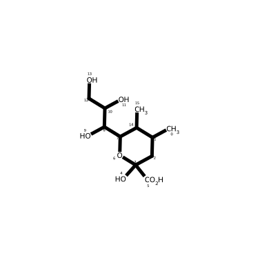 CC1CC(O)(C(=O)O)OC(C(O)C(O)CO)C1C